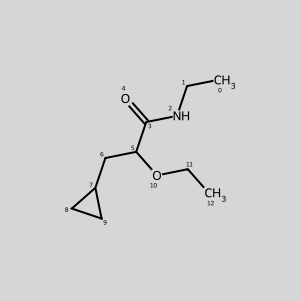 CCNC(=O)C(CC1CC1)OCC